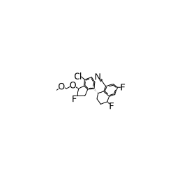 COCO[C@H]1c2c(Cl)ccc([C@H]3CC[C@H](F)c4cc(F)cc(C#N)c43)c2C[C@H]1F